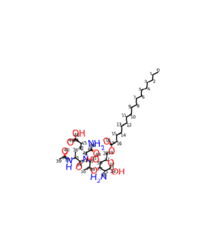 CCCCCCCCCCCCCCCCCC(=O)OC[C@H]1O[C@H](O)[C@H](N)[C@@H](OC(C)CN(C(=O)[C@H](C)NC(C)=O)[C@H](CCC(=O)O)C(N)=O)[C@@H]1O